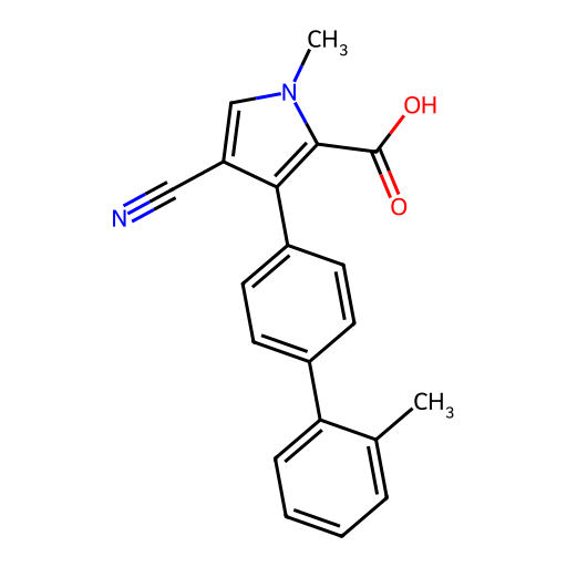 Cc1ccccc1-c1ccc(-c2c(C#N)cn(C)c2C(=O)O)cc1